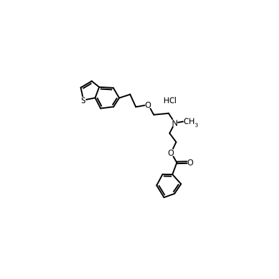 CN(CCOCCc1ccc2sccc2c1)CCOC(=O)c1ccccc1.Cl